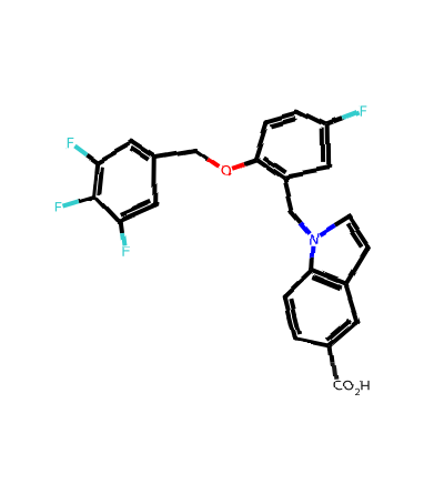 O=C(O)c1ccc2c(ccn2Cc2cc(F)ccc2OCc2cc(F)c(F)c(F)c2)c1